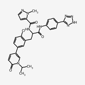 CC(C)n1cc(-c2ccc(Cl)c(CC(NC(=O)c3ccnn3C)C(=O)Nc3ccc(-c4nn[nH]n4)cc3)c2)ccc1=O